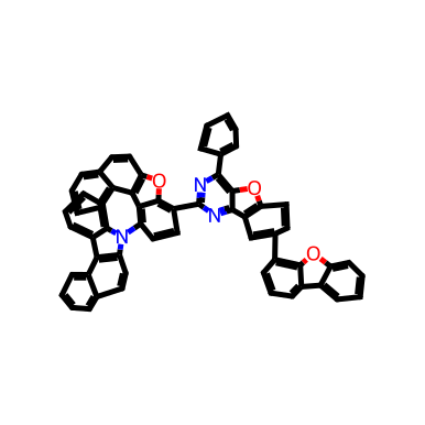 c1ccc(-c2nc(-c3ccc(-n4c5ccccc5c5c6ccccc6ccc54)c4c3oc3ccc5ccccc5c34)nc3c2oc2ccc(-c4cccc5c4oc4ccccc45)cc23)cc1